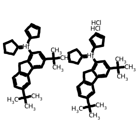 CC(C)(C)c1ccc2c(c1)-c1cc(C(C)(C)C)c[c]([Hf]([C]3=CC=CC3)=[C]3CCCC3)c1C2.CC(C)(C)c1ccc2c(c1)-c1cc(C(C)(C)C)c[c]([Hf]([C]3=CC=CC3)=[C]3CCCC3)c1C2.Cl.Cl